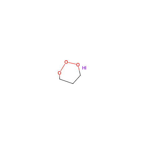 C1COOOC1.I